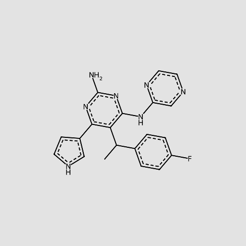 CC(c1ccc(F)cc1)c1c(Nc2cnccn2)nc(N)nc1-c1cc[nH]c1